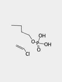 C=CCl.CCCCOP(=O)(O)O